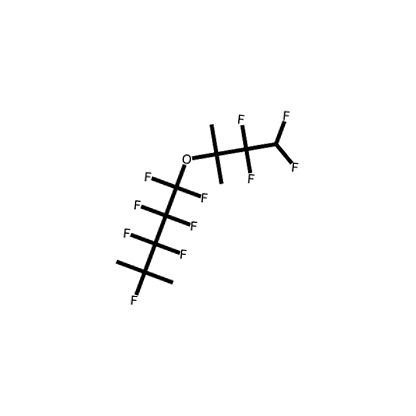 CC(C)(F)C(F)(F)C(F)(F)C(F)(F)OC(C)(C)C(F)(F)C(F)F